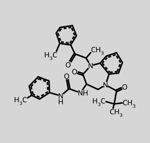 Cc1cccc(NC(=O)NC2CN(C(=O)C(C)(C)C)c3ccccc3N(C(C)C(=O)c3ccccc3C)C2=O)c1